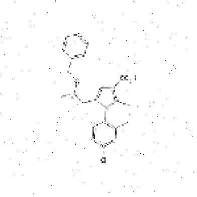 Cc1cc(Cl)ccc1-n1c(C[C@H](C)OCc2ccccc2)cc(C(=O)O)c1C